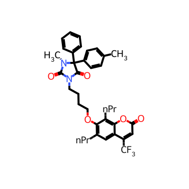 CCCc1cc2c(C(F)(F)F)cc(=O)oc2c(CCC)c1OCCCCN1C(=O)N(C)C(c2ccccc2)(c2ccc(C)cc2)C1=O